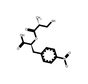 C[C@H](CS)C(=O)O[C@@H](Cc1ccc([N+](=O)[O-])cc1)C(=O)O